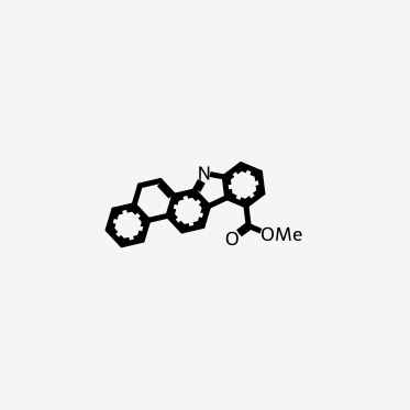 COC(=O)c1cccc2c1-c1ccc3c(c1=N2)=CCc1ccccc1-3